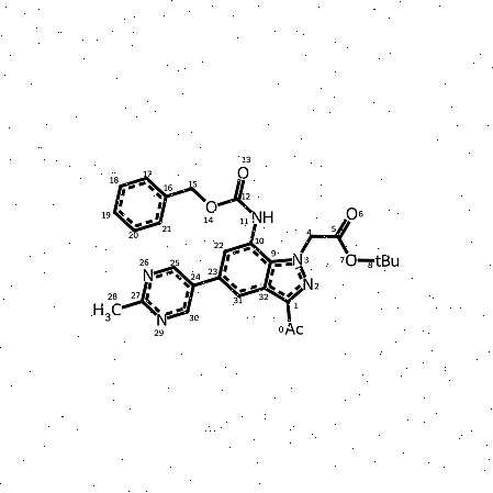 CC(=O)c1nn(CC(=O)OC(C)(C)C)c2c(NC(=O)OCc3ccccc3)cc(-c3cnc(C)nc3)cc12